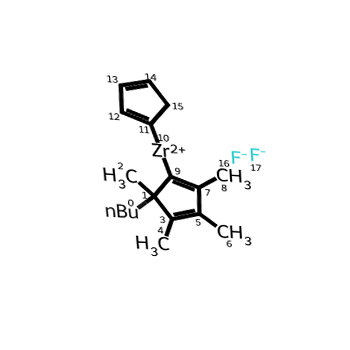 CCCCC1(C)C(C)=C(C)C(C)=[C]1[Zr+2][C]1=CC=CC1.[F-].[F-]